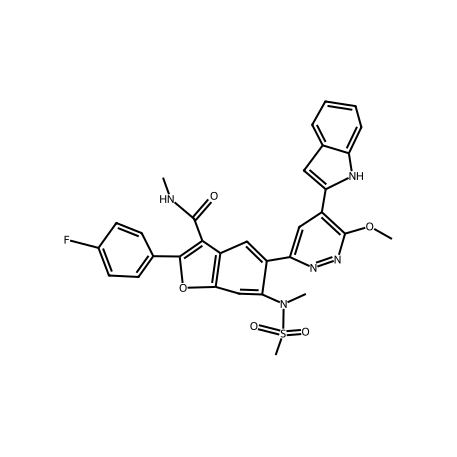 CNC(=O)c1c(-c2ccc(F)cc2)oc2cc(N(C)S(C)(=O)=O)c(-c3cc(-c4cc5ccccc5[nH]4)c(OC)nn3)cc12